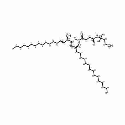 CCCCCCCCCCCCC/C=C/[C@@H](O)[C@H](COC(=O)CCC(=O)OC(C)(C)CCO)NC(=O)CCCCCCCCCCCCCCC